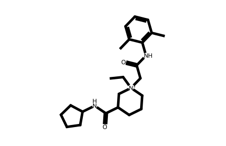 CC[N+]1(CC(=O)Nc2c(C)cccc2C)CCCC(C(=O)NC2CCCC2)C1